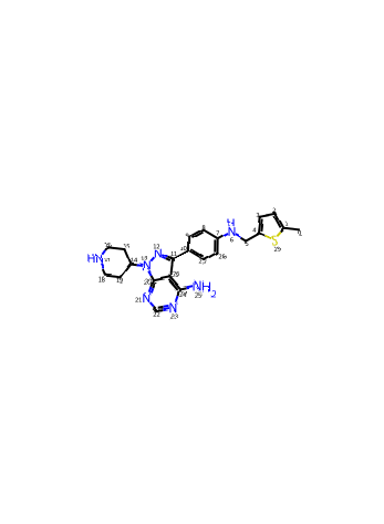 Cc1ccc(CNc2ccc(-c3nn(C4CCNCC4)c4ncnc(N)c34)cc2)s1